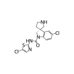 O=C(Nc1ncc(Cl)s1)N1C[C@@]2(CCNC2)c2cc(Cl)ccc21